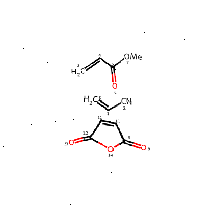 C=CC#N.C=CC(=O)OC.O=C1C=CC(=O)O1